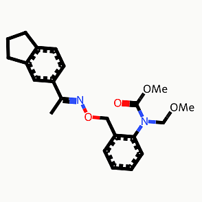 COCN(C(=O)OC)c1ccccc1CON=C(C)c1ccc2c(c1)CCC2